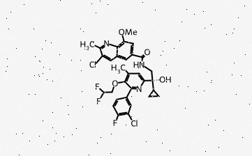 COc1cc(C(=O)NC[C@](O)(c2cc(C)c(OCC(F)F)c(-c3ccc(F)c(Cl)c3)n2)C2CC2)cc2cc(Cl)c(C)nc12